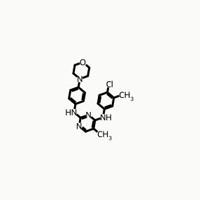 Cc1cc(Nc2nc(Nc3ccc(N4CCOCC4)cc3)ncc2C)ccc1Cl